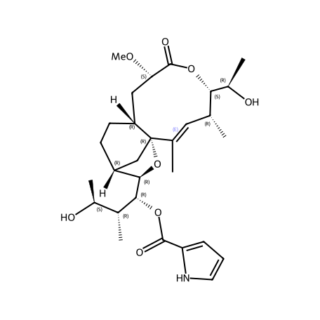 CO[C@H]1C[C@H]2CC[C@@H]3C[C@]2(O[C@H]3[C@H](OC(=O)c2ccc[nH]2)[C@H](C)[C@H](C)O)/C(C)=C/[C@@H](C)[C@@H]([C@@H](C)O)OC1=O